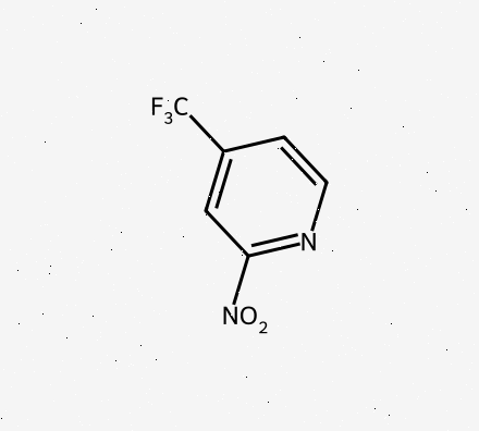 O=[N+]([O-])c1cc(C(F)(F)F)ccn1